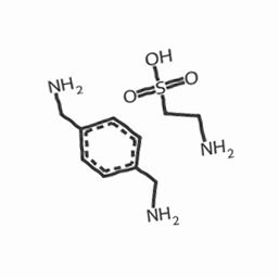 NCCS(=O)(=O)O.NCc1ccc(CN)cc1